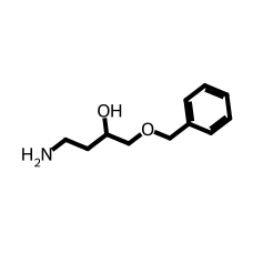 NCCC(O)COCc1ccccc1